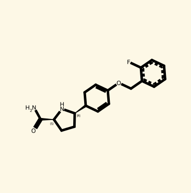 NC(=O)[C@@H]1CC[C@H](C2C=CC(OCc3ccccc3F)=CC2)N1